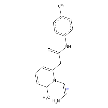 CCCc1ccc(NC(=O)CC2=CC=CC(C)N2/C=C\N)cc1